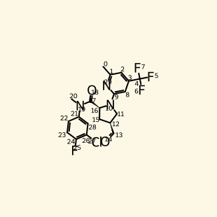 Cc1cc(C(F)(F)F)cc(N2C[C@@H](C=O)C[C@H]2C(=O)N(C)c2ccc(F)c(Cl)c2)n1